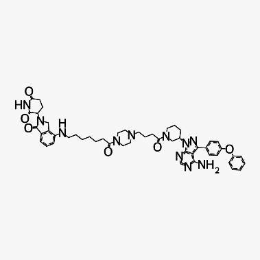 Nc1ncnc2c1c(-c1ccc(Oc3ccccc3)cc1)nn2[C@@H]1CCCN(C(=O)CCCN2CCN(C(=O)CCCCCCNc3cccc4c3CN(C3CCC(=O)NC3=O)C4=O)CC2)C1